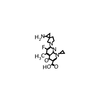 Cc1c(F)c(N2CCC3(CC3N)C2)nc2c1c(=O)c(C(=O)O)cn2C1CC1